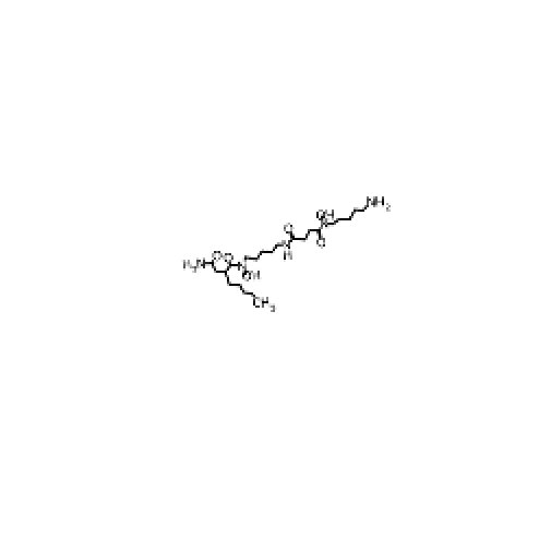 CCCCCC(CC(N)=O)C(=O)N(O)CCCCCNC(=O)CCC(=O)N(O)CCCCCN